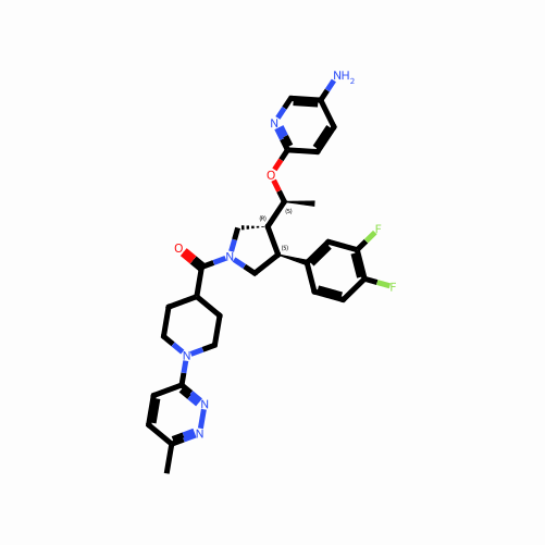 Cc1ccc(N2CCC(C(=O)N3C[C@H]([C@H](C)Oc4ccc(N)cn4)[C@@H](c4ccc(F)c(F)c4)C3)CC2)nn1